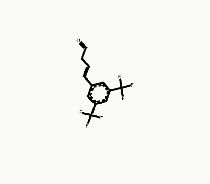 O=[C]CC=Cc1cc(C(F)(F)F)cc(C(F)(F)F)c1